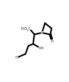 CCOC(=O)C(C(O)CCCl)N1CCC1=O